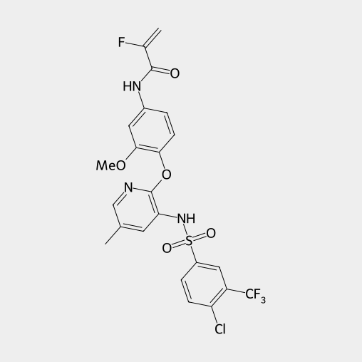 C=C(F)C(=O)Nc1ccc(Oc2ncc(C)cc2NS(=O)(=O)c2ccc(Cl)c(C(F)(F)F)c2)c(OC)c1